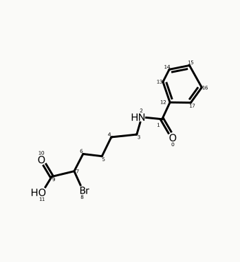 O=C(NCCCCC(Br)C(=O)O)c1ccccc1